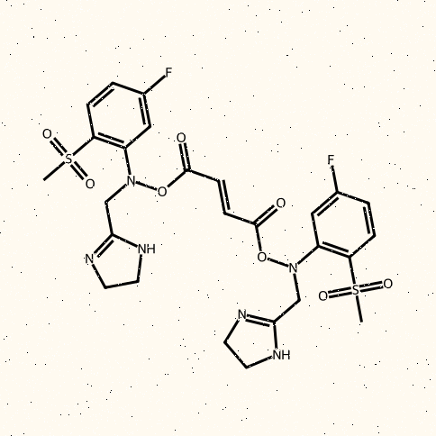 CS(=O)(=O)c1ccc(F)cc1N(CC1=NCCN1)OC(=O)/C=C/C(=O)ON(CC1=NCCN1)c1cc(F)ccc1S(C)(=O)=O